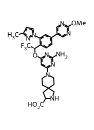 COc1ncc(-c2ccc([C@@H](Oc3cc(N4CCC5(CC4)CNC(C(=O)O)C5)nc(N)n3)C(F)(F)F)c(-n3ccc(C)n3)c2)cn1